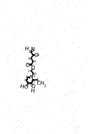 CCc1c(O)c(O)cc[n+]1CCOC(=O)CCC(=O)CN